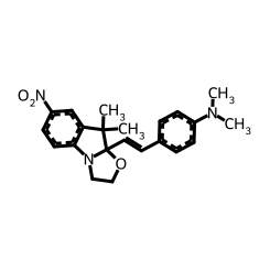 CN(C)c1ccc(/C=C/C23OCCN2c2ccc([N+](=O)[O-])cc2C3(C)C)cc1